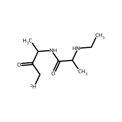 [2H]CC(=O)C(C)NC(=O)C(C)NCC